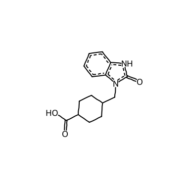 O=C(O)C1CCC(Cn2c(=O)[nH]c3ccccc32)CC1